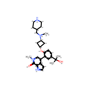 Cn1cc(-c2cc(C(C)(C)O)ccc2O[C@H]2C[C@H](N(C)CC3CCNCC3)C2)c2cc[nH]c2c1=O